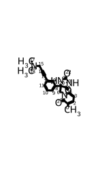 Cc1cccn(CC2(c3cccc(C#CCN(C)C)c3)NC(=O)NC2=O)c1=O